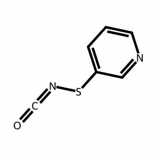 O=C=NSc1cccnc1